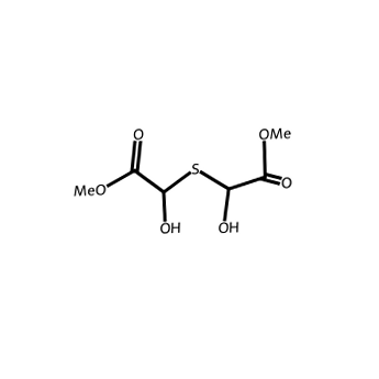 COC(=O)C(O)SC(O)C(=O)OC